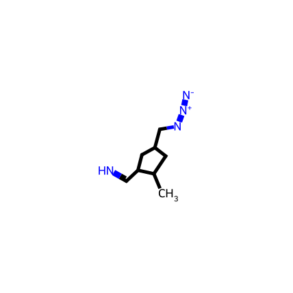 CC1CC(CN=[N+]=[N-])CC1C=N